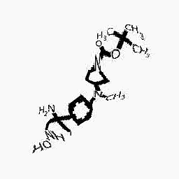 CN(c1ccc(C(N)(I)CNO)cc1)C1CCN(C(=O)OC(C)(C)C)C1